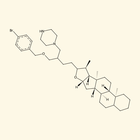 C[C@@H]1C(CCC(COCc2ccc(Br)cc2)CN2CCNCC2)O[C@H]2C[C@H]3[C@@H]4CCC5CCCC[C@]5(C)[C@H]4CC[C@]3(C)[C@H]21